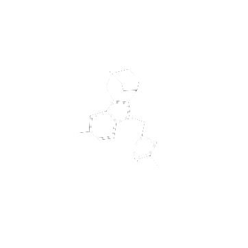 Cc1cc(Cn2c3c(c4cc(F)ccc42)CN2CCC3CC2)on1